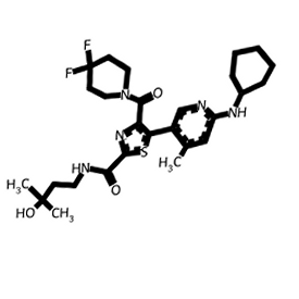 Cc1cc(NC2CCCCC2)ncc1-c1sc(C(=O)NCCC(C)(C)O)nc1C(=O)N1CCC(F)(F)CC1